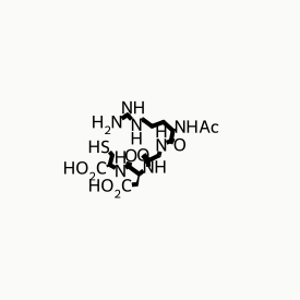 CC(=O)N[C@@H](CCCNC(=N)N)C(=O)NCC(=O)N[C@@H](CC(=O)O)C(=O)N[C@H](CS)C(=O)O